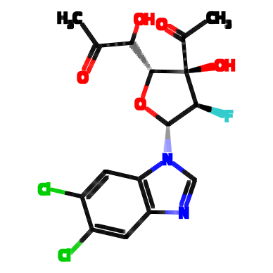 CC(=O)C(O)[C@H]1O[C@@H](n2cnc3cc(Cl)c(Cl)cc32)[C@H](F)[C@@]1(O)C(C)=O